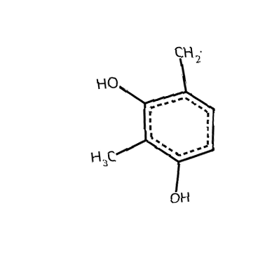 [CH2]c1ccc(O)c(C)c1O